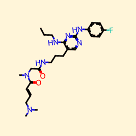 CCCNc1nc(Nc2ccc(F)cc2)ncc1CCCNC(=O)CN(C)C(=O)/C=C/CN(C)C